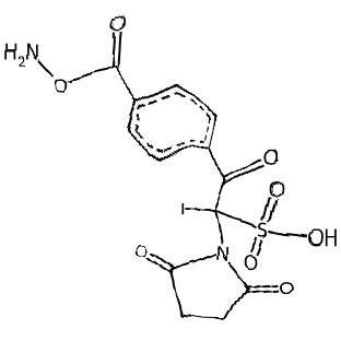 NOC(=O)c1ccc(C(=O)C(I)(N2C(=O)CCC2=O)S(=O)(=O)O)cc1